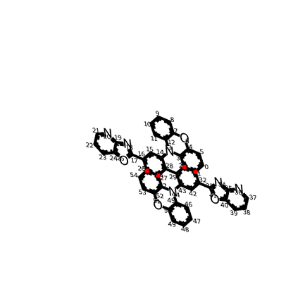 c1ccc2c(c1)Oc1ccccc1N2c1cc(-c2nc3ncccc3o2)ccc1-c1ccc(-c2nc3ncccc3o2)cc1N1c2ccccc2Oc2ccccc21